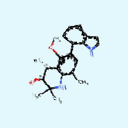 COc1c(-c2cccc3cc[nH]c23)cc(C)c2c1[C@@H](C)[C@H](O)C(C)(C)N2